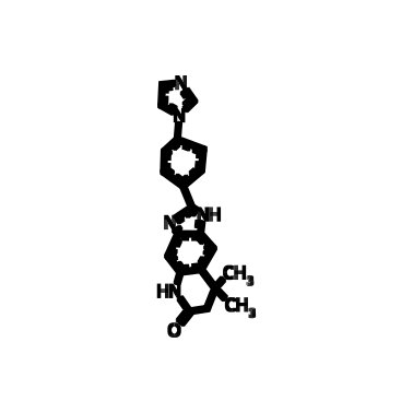 CC1(C)CC(=O)Nc2cc3nc(-c4ccc(-n5ccnc5)cc4)[nH]c3cc21